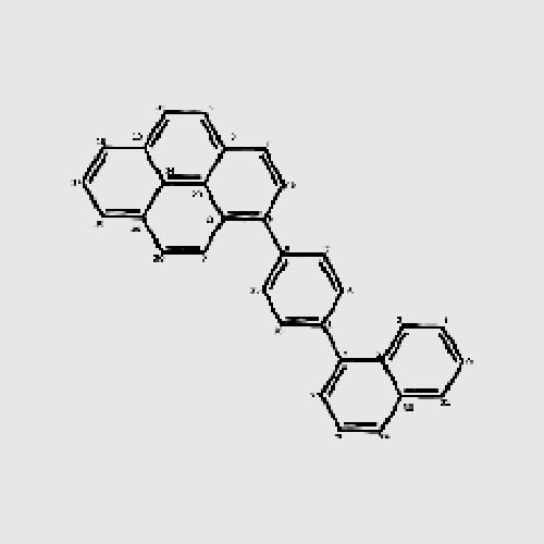 c1ccc2c(-c3ccc(-c4ccc5ccc6cccc7ccc4c5c67)cc3)cccc2c1